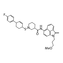 C=c1c2cccc3c(NC(=O)C4CCCN(SC5C=CC(c6ccc(F)cc6)CC5)C4)ccc(c32)n1CCCOC